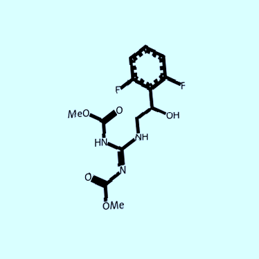 COC(=O)N=C(NCC(O)c1c(F)cccc1F)NC(=O)OC